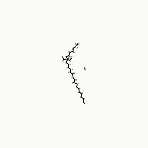 CCCCCCCCCCCCCCCCCC[N+](CC)(CC)CCCCCCO.[F-]